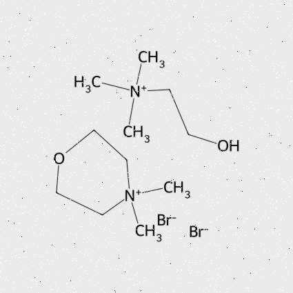 C[N+](C)(C)CCO.C[N+]1(C)CCOCC1.[Br-].[Br-]